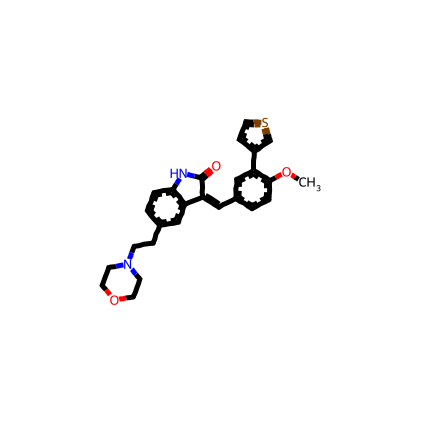 COc1ccc(C=C2C(=O)Nc3ccc(CCN4CCOCC4)cc32)cc1-c1ccsc1